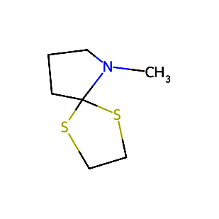 CN1CCCC12SCCS2